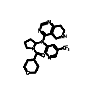 O=C(C1CCOCC1)N1CCCC1N(c1cncc(C(F)(F)F)c1)c1ncnc2c1CNCC2